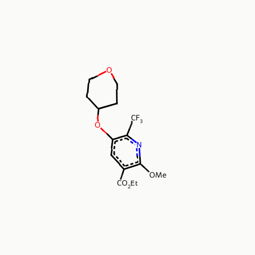 CCOC(=O)c1cc(OC2CCOCC2)c(C(F)(F)F)nc1OC